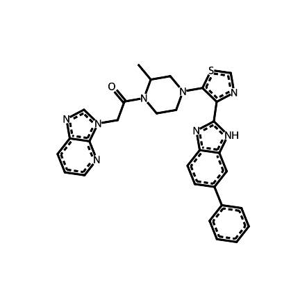 CC1CN(c2scnc2-c2nc3ccc(-c4ccccc4)cc3[nH]2)CCN1C(=O)Cn1cnc2cccnc21